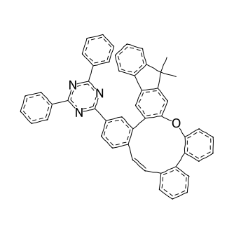 CC1(C)c2ccccc2-c2cc3c(cc21)Oc1ccccc1-c1ccccc1/C=C\c1ccc(-c2nc(-c4ccccc4)nc(-c4ccccc4)n2)cc1-3